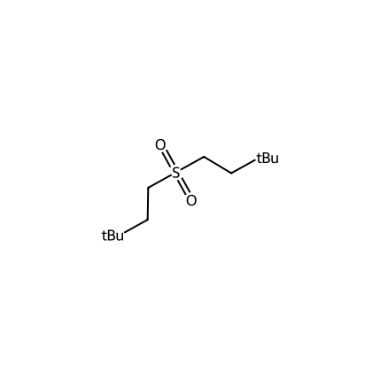 CC(C)(C)CCS(=O)(=O)CCC(C)(C)C